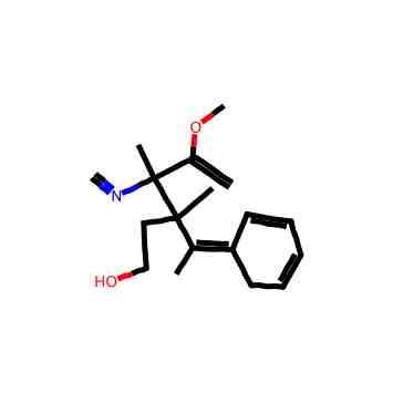 C=NC(C)(C(=C)OC)C(C)(CCO)/C(C)=C1\C=CC=CC1